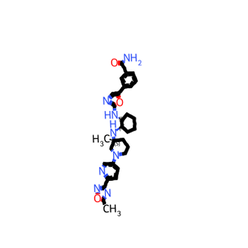 Cc1nc(-c2ccc(N3CCC[C@](C)(N[C@@H]4CCCC[C@H]4Nc4ncc(-c5cccc(C(N)=O)c5)o4)C3)cn2)no1